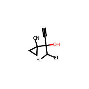 C#CC(O)(C(CC)CC)C1(C#N)CC1